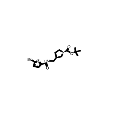 CC(C)(C)OC(=O)N1CCC(CNC(=O)c2ccc(Br)s2)C1